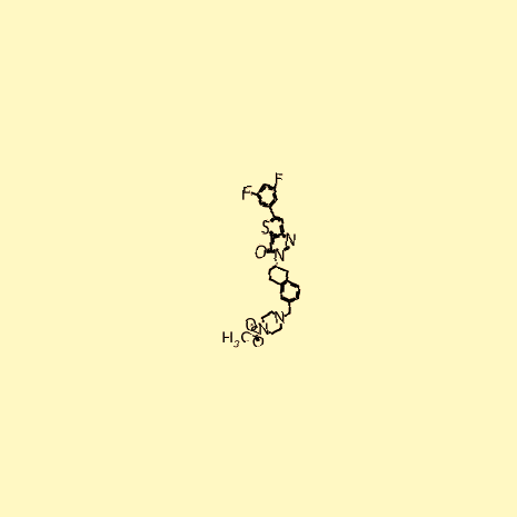 CS(=O)(=O)N1CCN(Cc2ccc3c(c2)CC[C@H](n2cnc4cc(-c5cc(F)cc(F)c5)sc4c2=O)C3)CC1